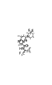 Cc1cc(N2CCCC(F)(F)C2)nn2c(C(=O)N[C@H](C3CC3)C(F)(F)F)cnc12